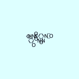 COc1ccc(OC)c(NS(=O)(=O)c2ccc(N3CCOCC3)c3nonc23)c1